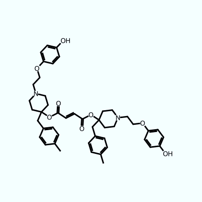 Cc1ccc(CC2(OC(=O)/C=C/C(=O)OC3(Cc4ccc(C)cc4)CCN(CCOc4ccc(O)cc4)CC3)CCN(CCOc3ccc(O)cc3)CC2)cc1